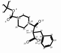 CC(C)(C)OC(=O)N1CCN(C(=O)[C@@](C)(Cc2ccccc2)C(=O)O)CC1